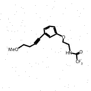 COCCC#Cc1cccc(OCCNC(=O)C(F)(F)F)c1